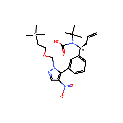 C=CC[C@@H](c1cccc(-c2c([N+](=O)[O-])cnn2COCC[Si](C)(C)C)c1)N(C(=O)O)C(C)(C)C